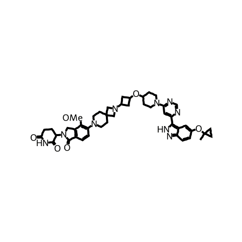 COc1c(N2CCC3(CC2)CN(C2CC(OC4CCN(c5cc(-c6[nH]nc7ccc(OC8(C)CC8)cc67)ncn5)CC4)C2)C3)ccc2c1CN(C1CCC(=O)NC1=O)C2=O